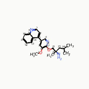 COc1cc(-c2ccnc3ccccc23)cnc1OCC(C)(N)CC(C)C